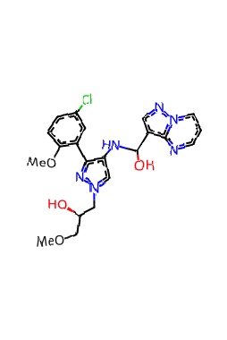 COC[C@@H](O)Cn1cc(NC(O)c2cnn3cccnc23)c(-c2cc(Cl)ccc2OC)n1